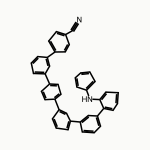 N#Cc1ccc(-c2cccc(-c3ccc(-c4cccc(-c5cccc(-c6ccccc6Nc6ccccc6)c5)c4)cc3)c2)cc1